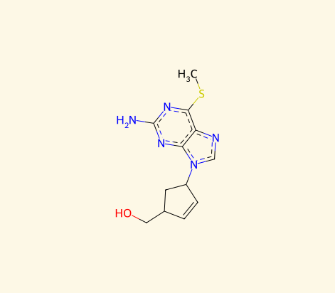 CSc1nc(N)nc2c1ncn2C1C=CC(CO)C1